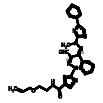 C=CCOCCNC(=O)c1cnc(N/N=C(C=O)\C(=N/N(C)c2nc(-c3ccccc3)cs2)c2ccccc2)s1